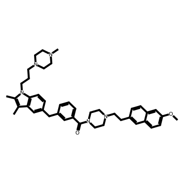 COc1ccc2cc(CCN3CCN(C(=O)c4cccc(Cc5ccc6c(c5)c(C)c(C)n6CCCN5CCN(C)CC5)c4)CC3)ccc2c1